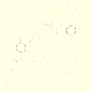 CC(C)(C)OC(=O)Nc1ccc2c(c1)C1(C)CCC[C@](C)(CNC(=O)[C@@]3(C)CCCC4(C)c5cc(O)ccc5CCC43)C1CC2